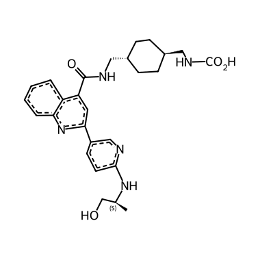 C[C@@H](CO)Nc1ccc(-c2cc(C(=O)NC[C@H]3CC[C@H](CNC(=O)O)CC3)c3ccccc3n2)cn1